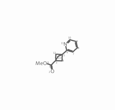 COC(=O)C12CC(c3ccccn3)(C1)C2